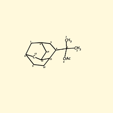 CC(=O)OC(C)(C)C1CC2CC3CCC1C(C3)C2